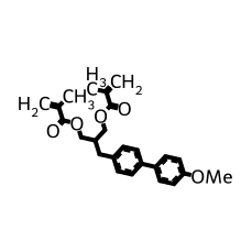 C=C(C)C(=O)OCC(COC(=O)C(=C)C)Cc1ccc(-c2ccc(OC)cc2)cc1